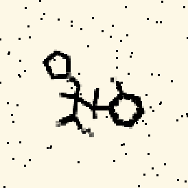 CC(CN1CCCC1)(C(N)=O)C(C)(C)c1ccccc1Cl